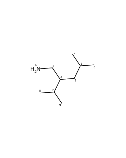 CC(C)CC(CN)C(C)C